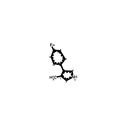 Cc1c[nH]cc1-c1ccc(F)cc1